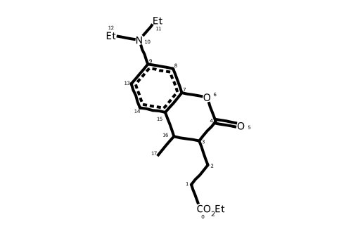 CCOC(=O)CCC1C(=O)Oc2cc(N(CC)CC)ccc2C1C